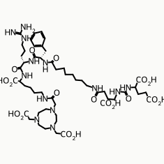 N=C(N)NCCC[C@H](NC(=O)[C@H](Cc1ccccc1)NC(=O)CCCCCCCNC(=O)CCC(NC(=O)NC(CCC(=O)O)C(=O)O)C(=O)O)C(=O)N[C@@H](CCCCNC(=O)CN1CCN(CC(=O)O)CCN(CC(=O)O)CC1)C(=O)O